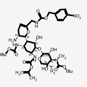 C=C(C)OC(=O)N[C@@H]1C[C@H](NC(=O)OC(C)(C)C)C([C@H]2OC(CNC(=O)OCc3ccc([N+](=O)[O-])cc3)=CC[C@H]2N)[C@H](O)[C@H]1O[C@H]1OC[C@](C)(O)[C@H](N(C)C(=O)OC(C)(C)C)[C@H]1O